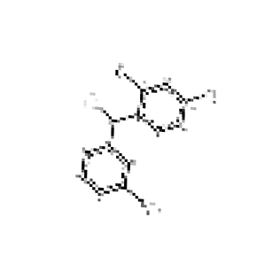 Nc1cccc(C(O)c2ccc(Cl)cc2Cl)c1